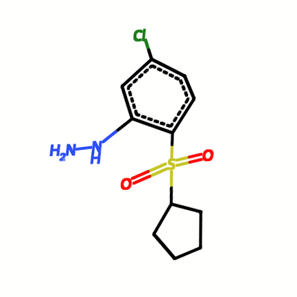 NNc1cc(Cl)ccc1S(=O)(=O)C1CCCC1